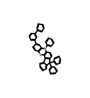 c1ccc(-c2cccc(-c3ccc4c(c3)N(c3ccccc3)c3ccc5c(c3S4)-c3ccccc3C5(c3ccccc3)c3ccccc3)c2)cc1